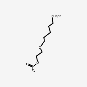 CCCCCCCCCCCCOCCO[PH](C)=O